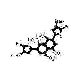 CCCCCCc1cc(-c2cc(C(=O)O)c3c(C(=O)O)cc(-c4cc(CCCCCC)c(Br)s4)c(C(=O)O)c3c2C(=O)O)sc1Br